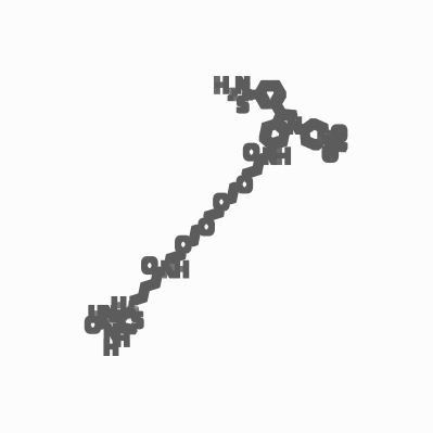 CS(=O)(=O)N1CCC(n2cc(-c3cccc(C(N)=S)c3)c3ccc(NC(=O)CCOCCOCCOCCOCCNC(=O)CCCC[C@@H]4SC[C@@H]5NC(=O)N[C@@H]54)cc32)CC1